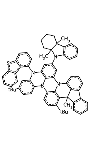 CC(C)(C)c1ccc2c(c1)N(c1cccc3sc4ccccc4c13)c1cc(N3c4ccccc4C4(C)CCCCC34C)cc3c1B2c1ccc(C(C)(C)C)c2c1N3c1cccc3c1C2(C)c1ccccc1-3